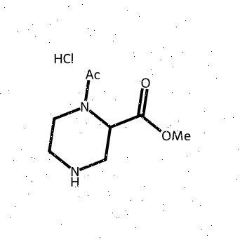 COC(=O)C1CNCCN1C(C)=O.Cl